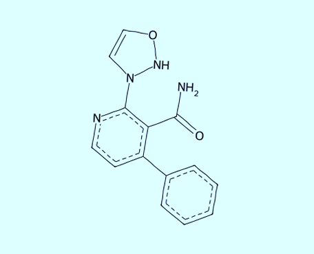 NC(=O)c1c(-c2ccccc2)ccnc1N1C=CON1